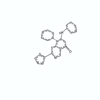 O=c1cc(Nc2ccccc2)n(-c2ccccc2)c2cc(-c3cccs3)ncc12